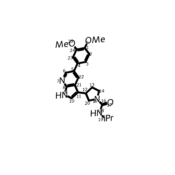 COc1ccc(-c2cnc3[nH]cc(C4CCN(C(=O)NC(C)C)C4)c3c2)cc1OC